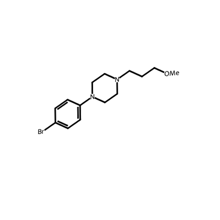 COCCCN1CCN(c2ccc(Br)cc2)CC1